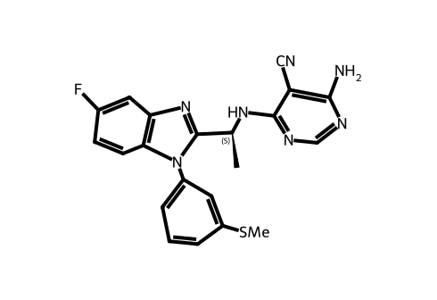 CSc1cccc(-n2c([C@H](C)Nc3ncnc(N)c3C#N)nc3cc(F)ccc32)c1